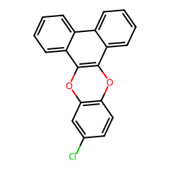 Clc1ccc2c(c1)Oc1c(c3ccccc3c3ccccc13)O2